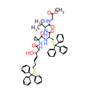 COC(=O)CNC(=O)C(NC(=O)[C@@H](CSC(c1ccccc1)(c1ccccc1)c1ccccc1)NC(=O)C1(NC(=O)C[C@H](O)/C=C/CCSC(c2ccccc2)(c2ccccc2)c2ccccc2)CC1)C(C)C